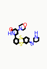 CN(c1ccc2c(c1)Sc1cccc(-c3cc(N4CCOCC4)cc(=O)[nH]3)c1S2)C1CCCNC1